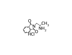 CC(N)CN1C(=O)c2ccccc2C1=O.Cl